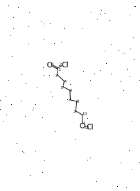 O=C(Cl)CCCCCCCCOCl